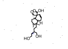 C[C@H]1CC[C@]2(C)[C@@H](CC=CC2(C=O)C(=O)O)[C@]1(C)CC/C(=C/CO)CO